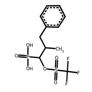 CC(Cc1ccccc1)C(OS(=O)(=O)C(F)(F)F)P(=O)(O)O